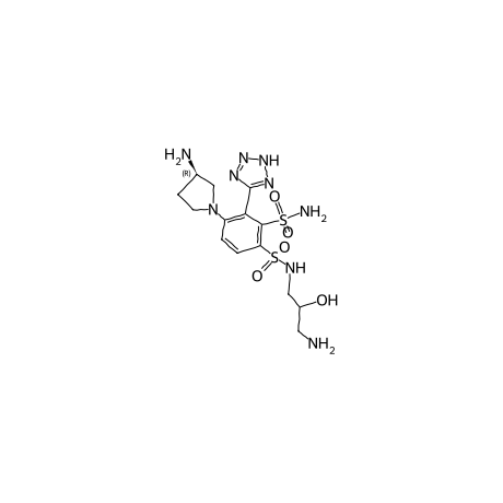 NCC(O)CNS(=O)(=O)c1ccc(N2CC[C@@H](N)C2)c(-c2nn[nH]n2)c1S(N)(=O)=O